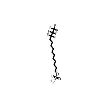 CS(=O)(=O)OCCCCCCCCCCCC(F)(F)C(F)(F)C(F)(F)F